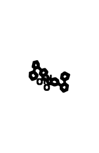 O=c1c2cc(-c3ccccc3-c3ccccc3)ccc2n2c3ccc(-c4ccccc4-c4ccccc4)cc3c(=O)n12